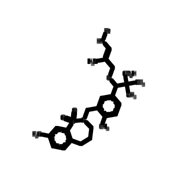 CCN/C=C(\N)COC(c1ccc(C)c(CN2CCCc3ccc(C(F)(F)F)cc3S2(=O)=O)c1)C(C)(C)C(=O)O